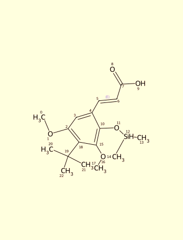 COc1cc(/C=C/C(=O)O)c(O[SiH](C)C)c(OC)c1C(C)(C)C